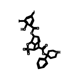 O=C(OC1C2CC3C1OS(=O)(=O)C3C2C(=O)OC1(c2ccccc2)CCNCC1)c1cc(I)cc(I)c1O